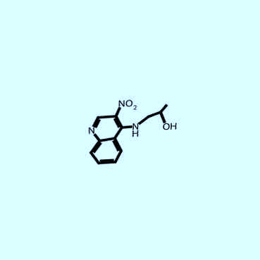 CC(O)CNc1c([N+](=O)[O-])cnc2ccccc12